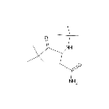 CC(C)(C)NC(CC(N)=O)C(=O)C(C)(C)C